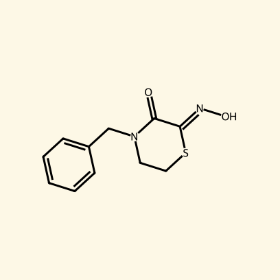 O=C1C(=NO)SCCN1Cc1ccccc1